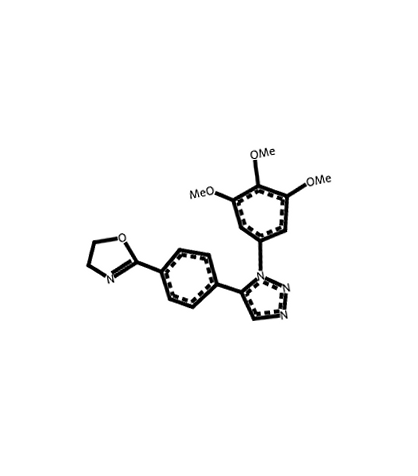 COc1cc(-n2nncc2-c2ccc(C3=NCCO3)cc2)cc(OC)c1OC